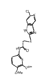 COc1ccc(NC(=O)CSc2nc3cnc(Cl)cc3[nH]2)nc1OC